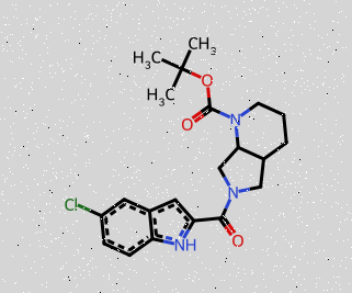 CC(C)(C)OC(=O)N1CCCC2CN(C(=O)c3cc4cc(Cl)ccc4[nH]3)CC21